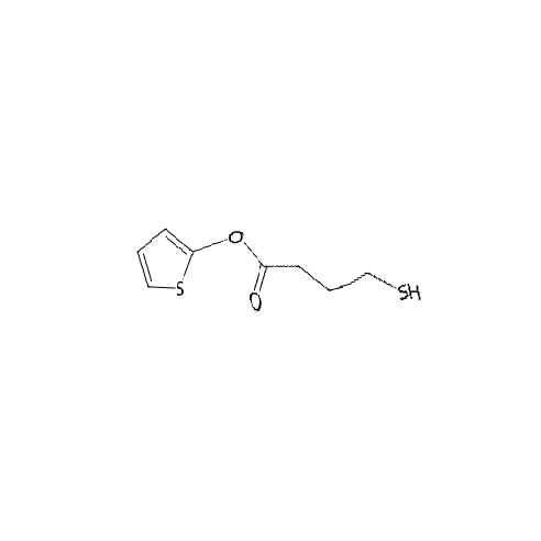 O=C(CCCS)Oc1cccs1